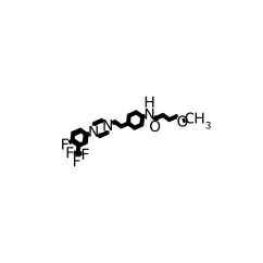 COCCCC(=O)NC1CCC(CCN2CCN(c3ccc(F)c(C(F)(F)F)c3)CC2)CC1